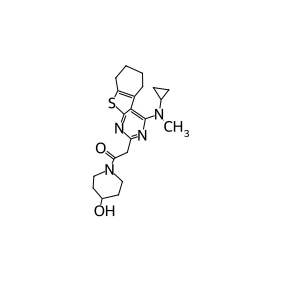 CN(c1nc(CC(=O)N2CCC(O)CC2)nc2sc3c(c12)CCCC3)C1CC1